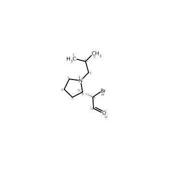 C[C](C)CN1CCC[C@H]1C(Br)C=O